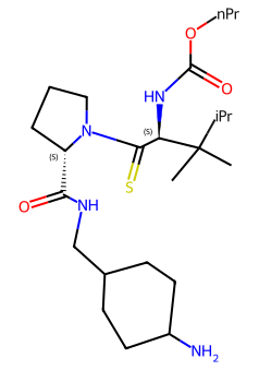 CCCOC(=O)N[C@H](C(=S)N1CCC[C@H]1C(=O)NCC1CCC(N)CC1)C(C)(C)C(C)C